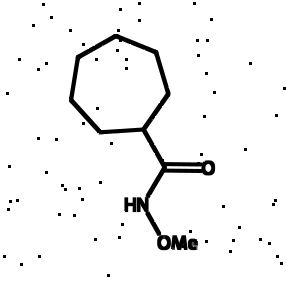 CONC(=O)C1CCCCCC1